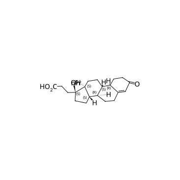 CCC[C@]12CC[C@H]3[C@@H](CCC4=CC(=O)CC[C@@H]43)[C@@H]1CC[C@]2(O)CCC(=O)O